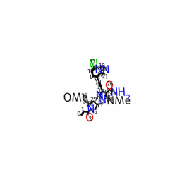 C=CC(=O)N1CC(/C=[N+]2\N=C(C#Cc3ccc(Cl)n4cncc34)C(C(N)=O)=C2NC)C[C@@H]1COC